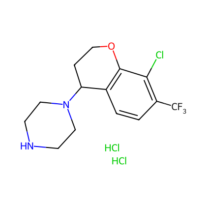 Cl.Cl.FC(F)(F)c1ccc2c(c1Cl)OCCC2N1CCNCC1